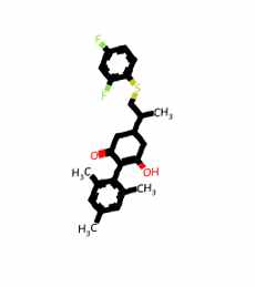 Cc1cc(C)c(C2=C(O)CC(C(C)CSc3ccc(F)cc3F)CC2=O)c(C)c1